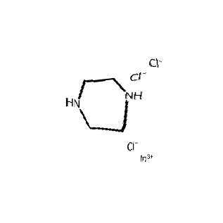 C1CNCCN1.[Cl-].[Cl-].[Cl-].[In+3]